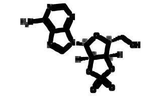 Nc1ncnc2c1ncn2[C@@H]1O[C@H](CO)[C@H]2OS(=O)(=O)O[C@H]21